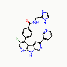 O=C(NCc1ncc[nH]1)c1ccc(-c2c(F)cnc3[nH]c4cnc(-c5cccnc5)cc4c23)cc1